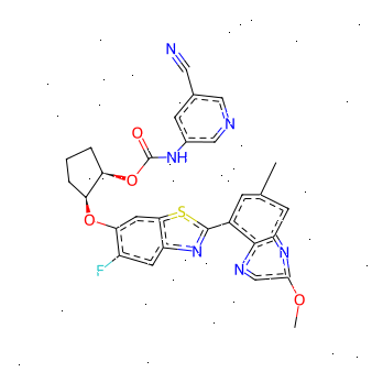 COc1cnc2c(-c3nc4cc(F)c(O[C@H]5CCC[C@H]5OC(=O)Nc5cncc(C#N)c5)cc4s3)cc(C)cc2n1